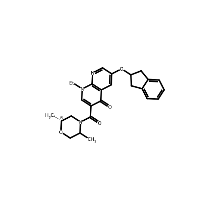 CCn1cc(C(=O)N2C[C@@H](C)OCC2C)c(=O)c2cc(OC3Cc4ccccc4C3)cnc21